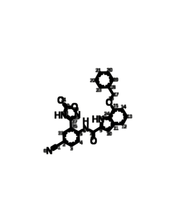 N#Cc1ccc(NC(=O)c2cc3cccc(OCc4ccccc4)c3[nH]2)c(-c2noc(=O)[nH]2)c1